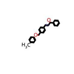 Cc1ccc(OCc2ccc(/C=C/C(=O)c3ccccc3)cc2)cc1